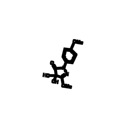 COC1=NN(c2ccc(OC)cc2)C(=O)C1(O)O